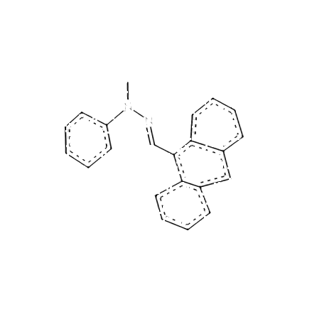 CN(N=Cc1c2ccccc2cc2ccccc12)c1ccccc1